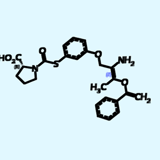 C=C(O/C(C)=C(\N)COc1cccc(SC(=O)N2CCC[C@@H]2C(=O)O)c1)c1ccccc1